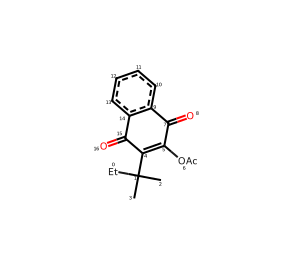 CCC(C)(C)C1=C(OC(C)=O)C(=O)c2ccccc2C1=O